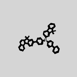 CC1(C)c2ccccc2-c2ccc(N(c3ccc(-c4ccccc4)cc3)c3ccc(-c4ccc5c(c4)C(C)(C)c4ccc6ccccc6c4-5)cc3)cc21